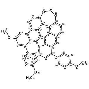 COC(=O)/C=C(/c1ccc(OC)cc1)c1ccc2c3c(ccc2c1)OCOc1ccc2cc(/C(=C\C(=O)OC)c4ccc(OC)cc4)ccc2c1-3